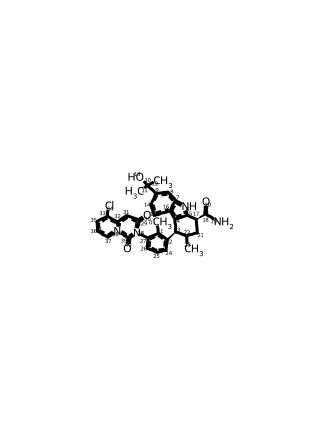 Cc1c([C@H]2c3c([nH]c4cc(C(C)(C)O)ccc34)[C@@H](C(N)=O)CC2C)cccc1-n1c(=O)cc2c(Cl)cccn2c1=O